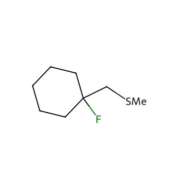 CSCC1(F)CCCCC1